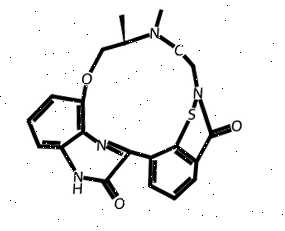 C[C@@H]1COc2cccc3[nH]c(=O)c(nc23)-c2cccc3c(=O)n(sc23)CCN1C